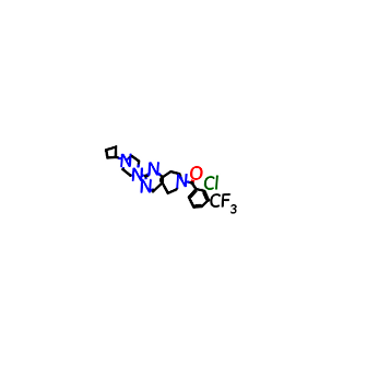 O=C(c1cccc(C(F)(F)F)c1Cl)N1CCc2cnc(N3CCN(C4CCC4)CC3)nc2CC1